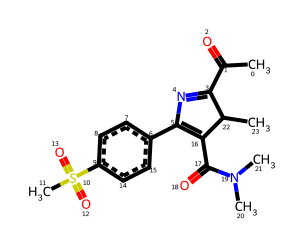 CC(=O)C1=NC(c2ccc(S(C)(=O)=O)cc2)=C(C(=O)N(C)C)C1C